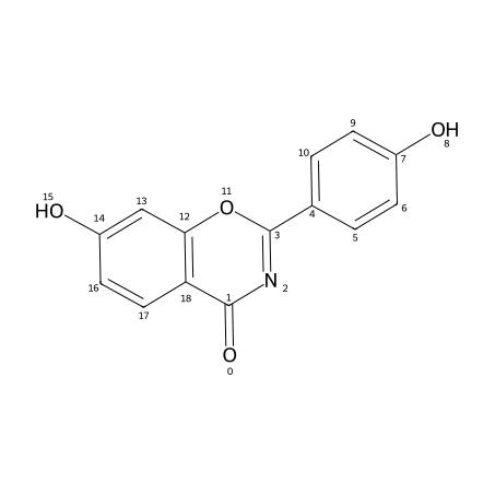 O=c1nc(-c2ccc(O)cc2)oc2cc(O)ccc12